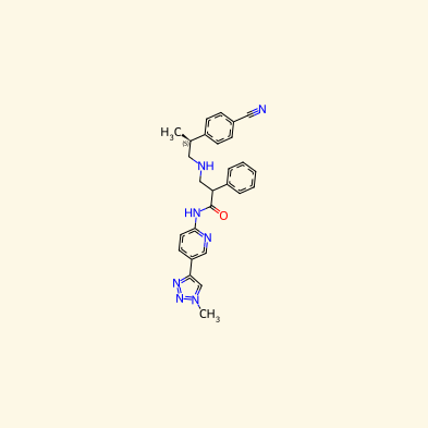 C[C@H](CNCC(C(=O)Nc1ccc(-c2cn(C)nn2)cn1)c1ccccc1)c1ccc(C#N)cc1